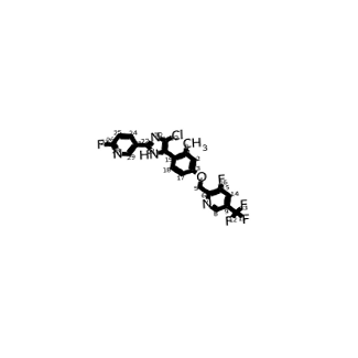 Cc1cc(OCc2ncc(C(F)(F)F)cc2F)ccc1-c1[nH]c(-c2ccc(F)nc2)nc1Cl